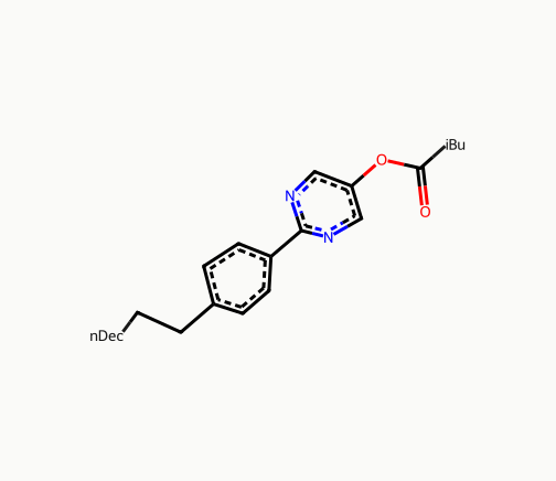 CCCCCCCCCCCCc1ccc(-c2ncc(OC(=O)C(C)CC)cn2)cc1